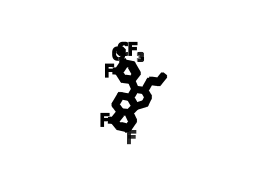 CC=CC1CCC2c3cc(F)cc(F)c3CCC2C1c1ccc(OC(F)(F)F)c(F)c1